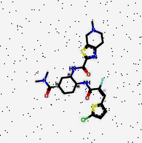 CN1CCc2nc(C(=O)N[C@@H]3C[C@@H](C(=O)N(C)C)CC[C@@H]3NC(=O)/C(F)=C\c3ccc(Cl)s3)sc2C1